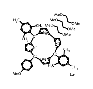 COCCOC.COCCOC.COCCOC.COc1ccc([C+]2c3ccc([n-]3)[C+](c3c(C)cc(C)cc3C)c3ccc([n-]3)-c3ccc([n-]3)[C+](c3c(C)cc(C)cc3C)c3ccc2[n-]3)cc1.[La]